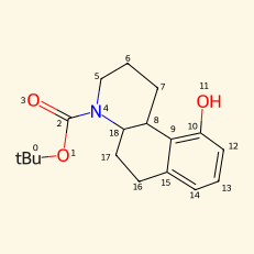 CC(C)(C)OC(=O)N1CCCC2c3c(O)cccc3CCC21